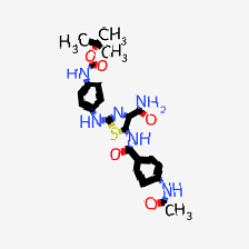 CC(=O)Nc1ccc(C(=O)NC2SC(Nc3ccc(NC(=O)OC(C)(C)C)cc3)=NC2C(N)=O)cc1